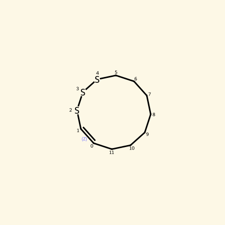 C1=C\SSSCCCCCCC/1